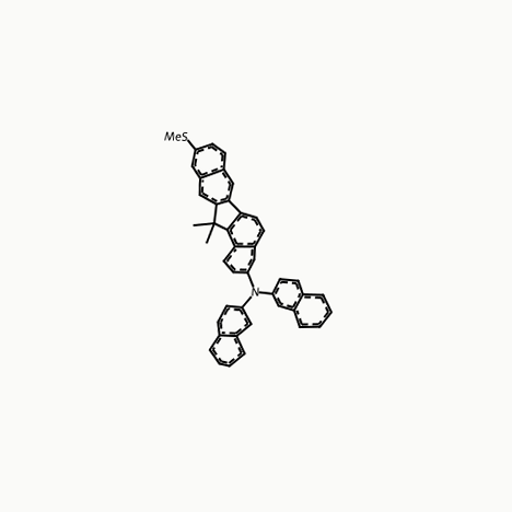 CSc1ccc2cc3c(cc2c1)C(C)(C)c1c-3ccc2cc(N(c3ccc4ccccc4c3)c3ccc4ccccc4c3)ccc12